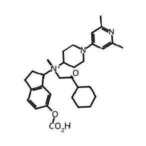 Cc1cc(N2CCC([N+](C)(CC(=O)C3CCCCC3)C3CCc4ccc(OC(=O)O)cc43)CC2)cc(C)n1